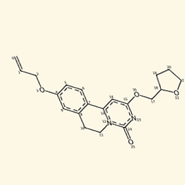 C=CCOc1ccc2c(c1)CCn1c-2cc(OCC2CCCO2)nc1=O